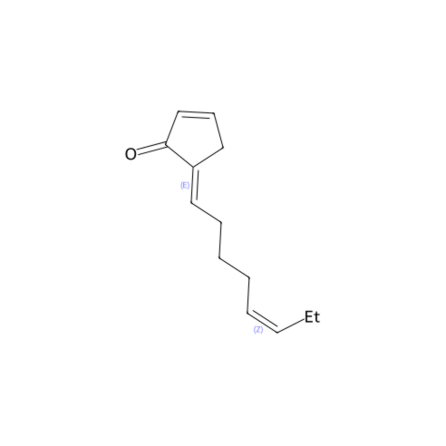 CC/C=C\CCC/C=C1\CC=CC1=O